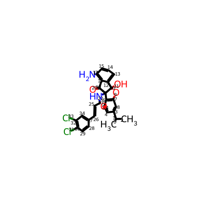 CC(C)c1ccc2c(c1)OC1(O)c3cccc(N)c3C(=O)C21NC(=O)C=Cc1ccc(Cl)c(Cl)c1